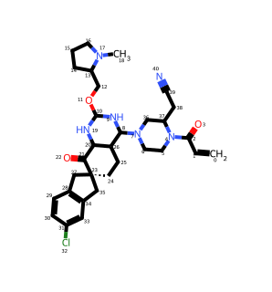 C=CC(=O)N1CCN(C2NC(OCC3CCCN3C)NC3C(=O)[C@]4(CCC32)Cc2ccc(Cl)cc2C4)CC1CC#N